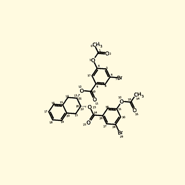 CC(=O)Oc1cc(Br)cc(C(=O)O[C@H]2Cc3ccccc3C[C@H]2OC(=O)c2cc(Br)cc(OC(C)=O)c2)c1